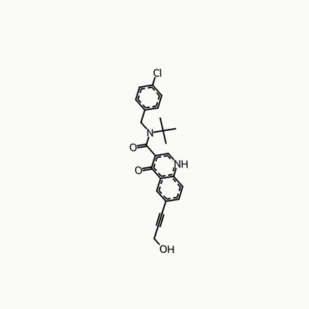 CC(C)(C)N(Cc1ccc(Cl)cc1)C(=O)c1c[nH]c2ccc(C#CCO)cc2c1=O